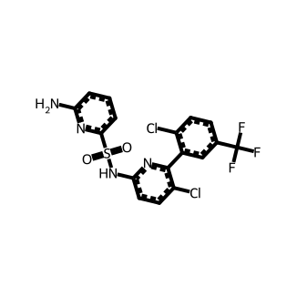 Nc1cccc(S(=O)(=O)Nc2ccc(Cl)c(-c3cc(C(F)(F)F)ccc3Cl)n2)n1